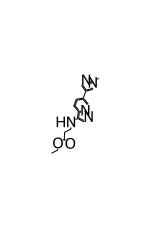 CCOC(=O)CCNc1cnn2cc(-c3cnn(C)c3)ccc12